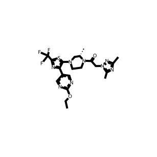 CCOc1ncc(-c2nc(C(F)(F)F)sc2N2CCN(C(=O)Cn3nc(C)nc3C)[C@@H](C)C2)cn1